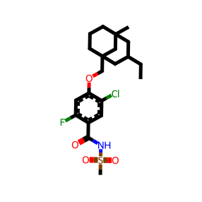 CCC1CC2(C)CCCC(COc3cc(F)c(C(=O)NS(C)(=O)=O)cc3Cl)(C1)C2